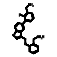 NCc1cccc(-c2ccc3occ(COc4ccccc4CC(=O)O)c3c2)c1F